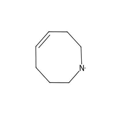 C1=C\CC[N]CCC/1